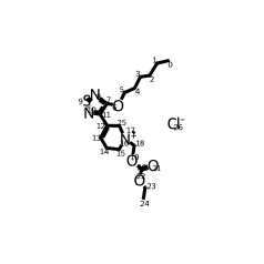 CCCCCCOc1nsnc1C1=CCC[N+](C)(COC(=O)OCC)C1.[Cl-]